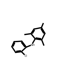 Cc1cc(C)c(Nc2ccccc2Cl)c(C)c1